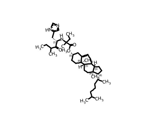 CCC(C)C(=O)[C@H](Cc1cnc[nH]1)NC(C)(CC)C(=O)O[C@H]1CC[C@@]2(C)C(=CCC3[C@@H]4CC[C@H](C(C)CCCC(C)C)[C@@]4(C)CC[C@@H]32)C1